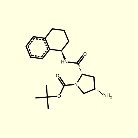 CC(C)(C)OC(=O)N1C[C@@H](N)C[C@H]1C(=O)N[C@@H]1CCCc2ccccc21